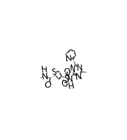 CNC(=O)c1cc(S(=O)(=O)Nc2nc(C)nc(-c3ccccn3)n2)cs1